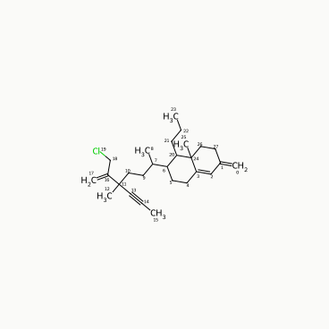 C=C1C=C2CCC(C(C)CCC(C)(C#CC)C(=C)CCl)C(CCC)C2(C)CC1